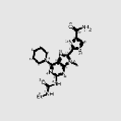 CCNC(=O)Nc1nc(N2CCCCC2)c2nc(-c3nc(C(N)=O)cs3)n(C)c2n1